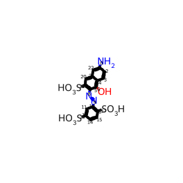 Nc1ccc2c(O)c(/N=N/c3cc(S(=O)(=O)O)ccc3S(=O)(=O)O)c(S(=O)(=O)O)cc2c1